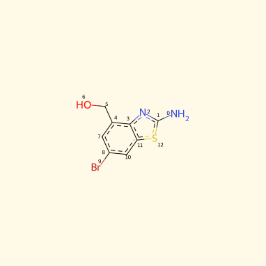 Nc1nc2c(CO)cc(Br)cc2s1